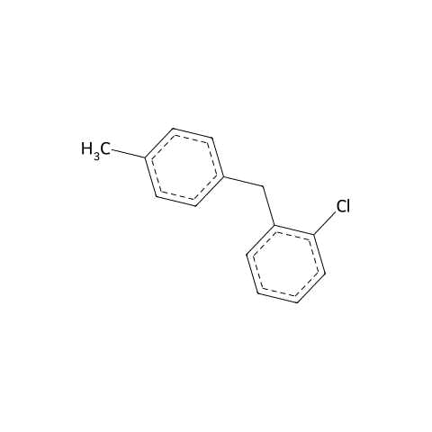 Cc1ccc(Cc2ccccc2Cl)cc1